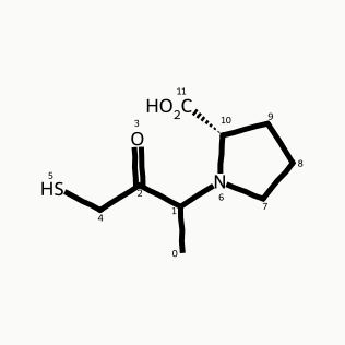 CC(C(=O)CS)N1CCC[C@H]1C(=O)O